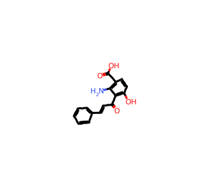 Nc1c(C(=O)O)ccc(O)c1C(=O)C=Cc1ccccc1